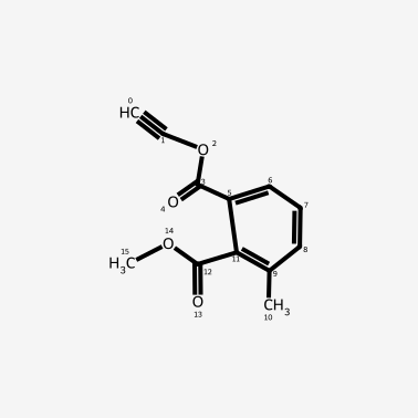 C#COC(=O)c1cccc(C)c1C(=O)OC